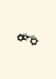 c1ccc2sc(NC3CCCCC3)nc2c1